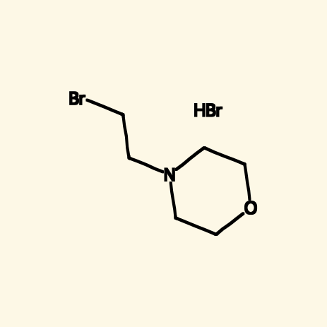 Br.BrCCN1CCOCC1